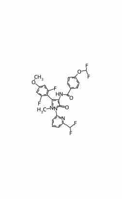 COc1cc(F)c(-c2c(NC(=O)c3ccc(OC(F)F)cc3)c(=O)n(-c3cccc(C(F)F)n3)n2C)c(F)c1